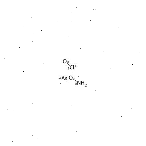 NO[Cl+][O-].[As]